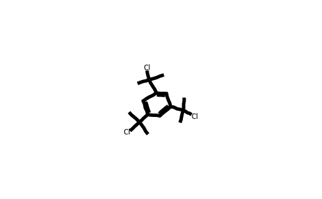 CC(C)(Cl)c1cc(C(C)(C)Cl)cc(C(C)(C)Cl)c1